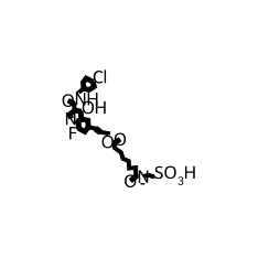 CN(CCS(=O)(=O)O)C(=O)CCCCCCC(=O)OCC#Cc1cc(F)c2ncc(C(=O)NCc3ccc(Cl)cc3)c(O)c2c1